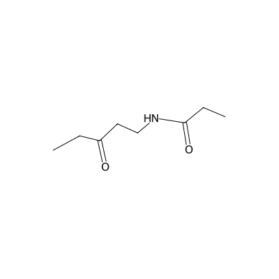 CCC(=O)CCNC(=O)CC